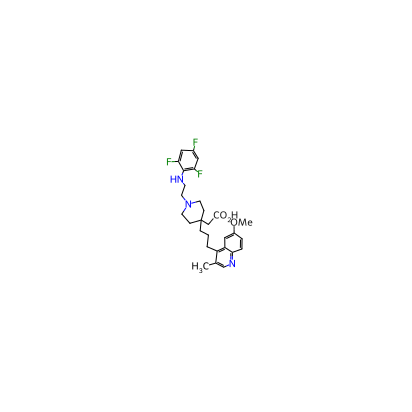 COc1ccc2ncc(C)c(CCCC3(CC(=O)O)CCN(CCNc4c(F)cc(F)cc4F)CC3)c2c1